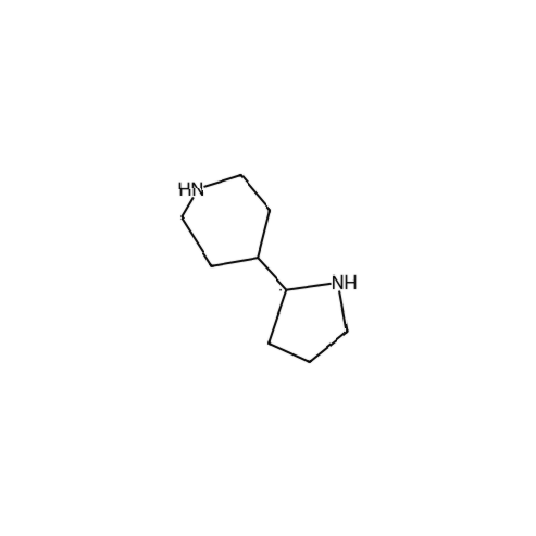 C1CN[C](C2CCNCC2)C1